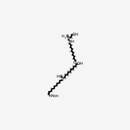 CCCCCCCCC/C=C\CCCCCCCCCN(O)CCCCCCCCCC(O)OCCCCCCCCCCNCN(C)CCO